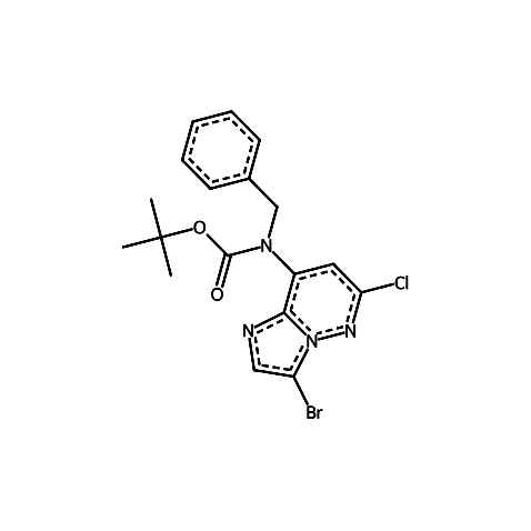 CC(C)(C)OC(=O)N(Cc1ccccc1)c1cc(Cl)nn2c(Br)cnc12